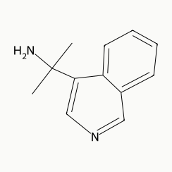 CC(C)(N)c1cncc2ccccc12